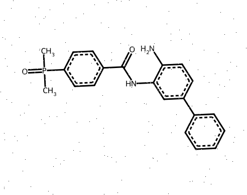 CP(C)(=O)c1ccc(C(=O)Nc2cc(-c3ccccc3)ccc2N)cc1